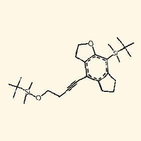 CC(C)(C)[Si](C)(C)OCCC#Cc1c2c(c([Si](C)(C)C(C)(C)C)c3c1CCO3)CCC2